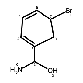 NC(O)C1=CC=CC(Br)C1